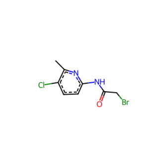 Cc1nc(NC(=O)CBr)ccc1Cl